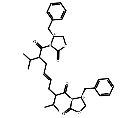 CC(C)C(CC=CCC(C(=O)N1C(=O)OC[C@@H]1Cc1ccccc1)C(C)C)C(=O)N1C(=O)OC[C@@H]1Cc1ccccc1